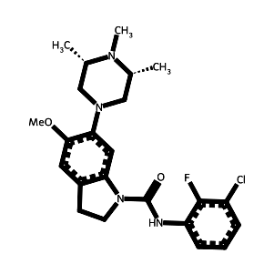 COc1cc2c(cc1N1C[C@@H](C)N(C)[C@@H](C)C1)N(C(=O)Nc1cccc(Cl)c1F)CC2